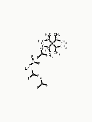 CN(C)[B-](N(C)C)(N(C)C)N(C)C.FB(F)F.FB(F)F.FB(F)F.FB(F)F.[Li+]